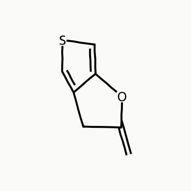 C=C1Cc2cscc2O1